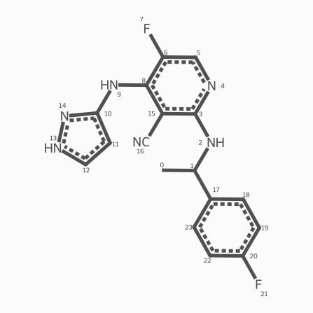 CC(Nc1ncc(F)c(Nc2cc[nH]n2)c1C#N)c1ccc(F)cc1